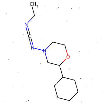 CCN=C=NN1CCOC(C2CCCCC2)C1